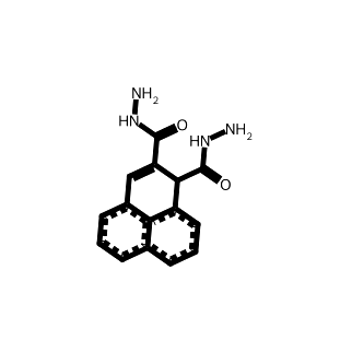 NNC(=O)C1=Cc2cccc3cccc(c23)C1C(=O)NN